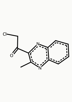 Cc1nc2ccccc2nc1C(=O)CCl